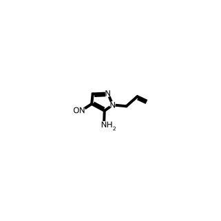 C=CCn1ncc(N=O)c1N